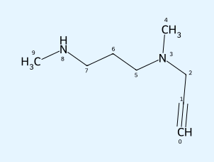 C#CCN(C)CCCNC